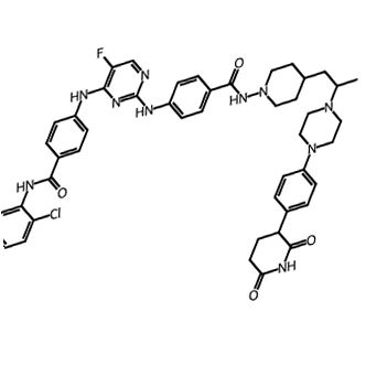 CC(CC1CCN(NC(=O)c2ccc(Nc3ncc(F)c(Nc4ccc(C(=O)Nc5ccccc5Cl)cc4)n3)cc2)CC1)N1CCN(c2ccc(C3CCC(=O)NC3=O)cc2)CC1